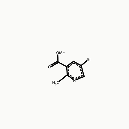 COC(=O)c1cc(Br)cnc1C